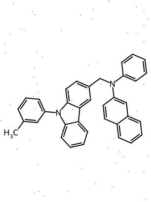 Cc1cccc(-n2c3ccccc3c3cc(CN(c4ccccc4)c4ccc5ccccc5c4)ccc32)c1